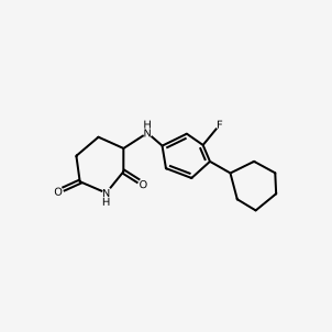 O=C1CCC(Nc2ccc(C3CCCCC3)c(F)c2)C(=O)N1